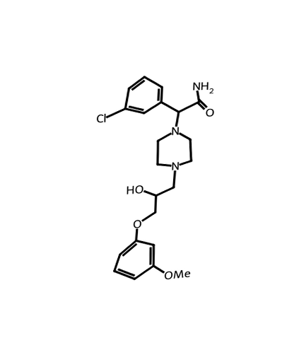 COc1cccc(OCC(O)CN2CCN(C(C(N)=O)c3cccc(Cl)c3)CC2)c1